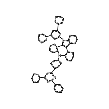 c1ccc(-c2cc(-c3ccccc3)cc(-n3c4c(c5ccccc53)-c3ccccc3N(c3ccc(-c5cc(-c6ccccc6)nc(-c6ccccc6)n5)cc3)c3ccccc3-4)c2)cc1